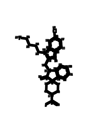 C=C(C)N1CCC2(CC1)C(=C)N(Cc1nc3ccc(Cl)cc3n1CCCCF)c1cnccc12